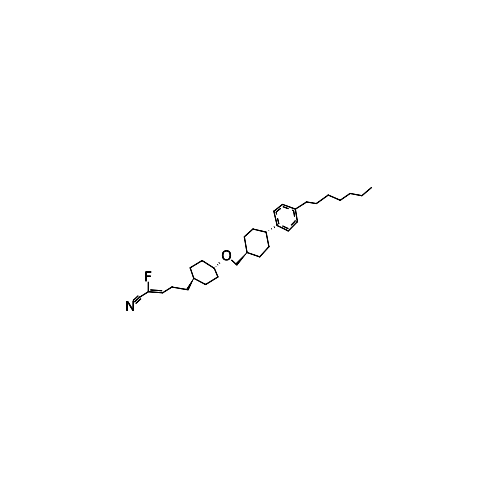 CCCCCCCc1ccc([C@H]2CC[C@H](CO[C@H]3CC[C@H](CCC=C(F)C#N)CC3)CC2)cc1